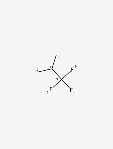 C[C](C)C(F)(F)F